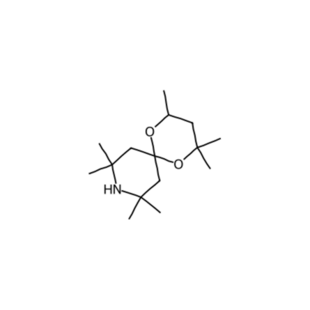 CC1CC(C)(C)OC2(CC(C)(C)NC(C)(C)C2)O1